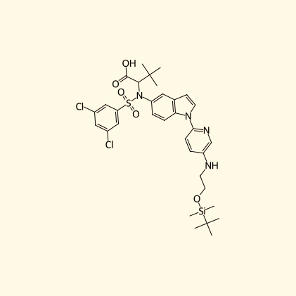 CC(C)(C)C(C(=O)O)N(c1ccc2c(ccn2-c2ccc(NCCO[Si](C)(C)C(C)(C)C)cn2)c1)S(=O)(=O)c1cc(Cl)cc(Cl)c1